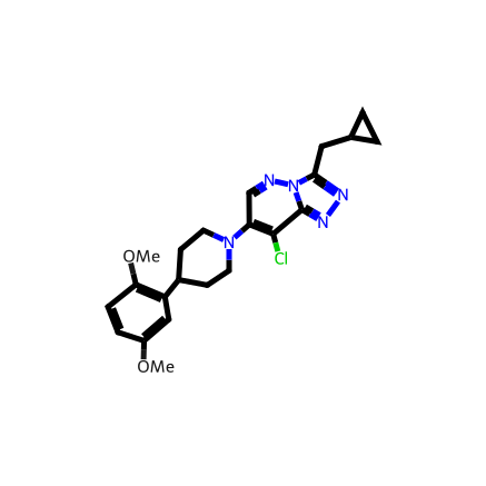 COc1ccc(OC)c(C2CCN(c3cnn4c(CC5CC5)nnc4c3Cl)CC2)c1